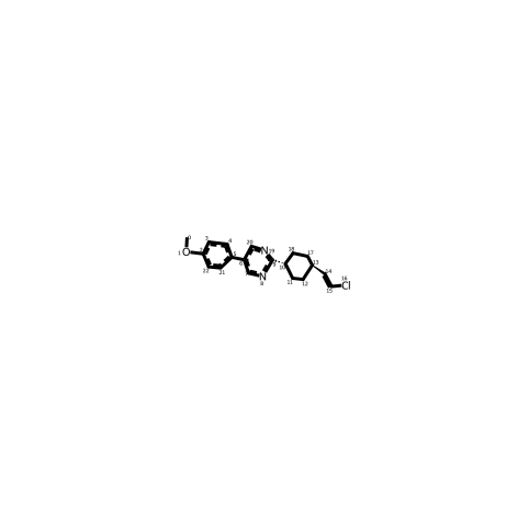 COc1ccc(-c2cnc([C@H]3CC[C@H](/C=C/Cl)CC3)nc2)cc1